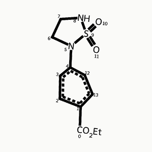 CCOC(=O)c1ccc(N2CCNS2(=O)=O)cc1